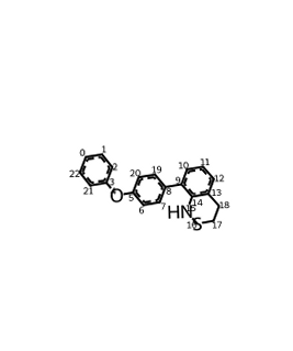 c1ccc(Oc2ccc(-c3cccc4c3NSCC4)cc2)cc1